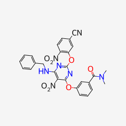 CN(C)C(=O)c1cccc(Oc2nc(Oc3cc(C#N)ccc3[N+](=O)[O-])nc(NCc3ccccc3)c2[N+](=O)[O-])c1